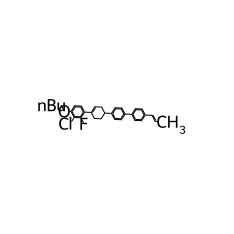 C/C=C/c1ccc(-c2ccc(C3CC=C(c4ccc(OCCCC)c(Cl)c4F)CC3)cc2)cc1